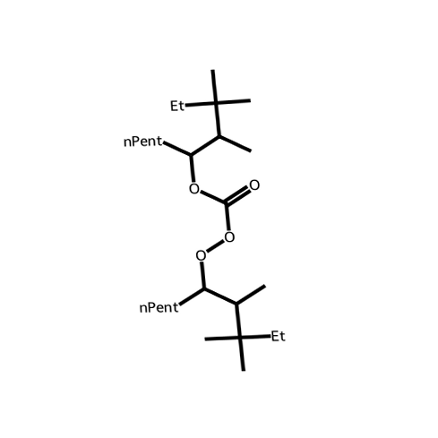 CCCCCC(OOC(=O)OC(CCCCC)C(C)C(C)(C)CC)C(C)C(C)(C)CC